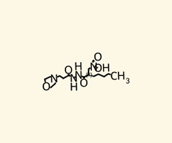 CCCCC[C@H](CN(O)C=O)C(=O)NNC(=O)CCN1CCOCC1